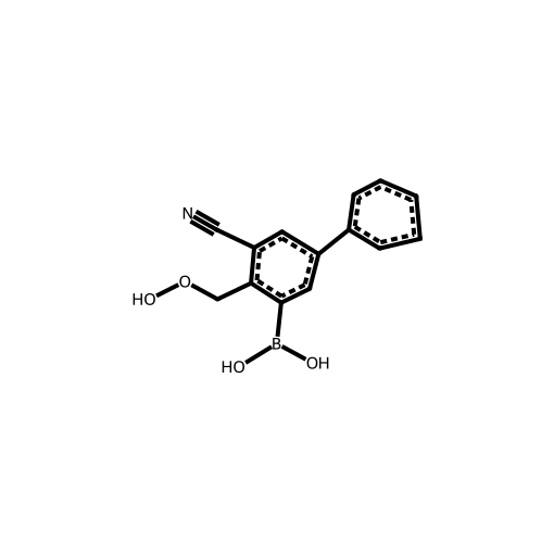 N#Cc1cc(-c2ccccc2)cc(B(O)O)c1COO